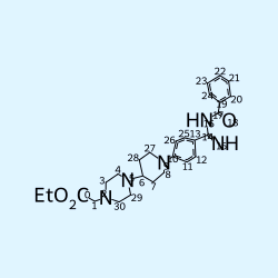 CCOC(=O)CN1CCN(C2CCN(c3ccc(C(=N)NC(=O)c4ccccc4)cc3)CC2)CC1